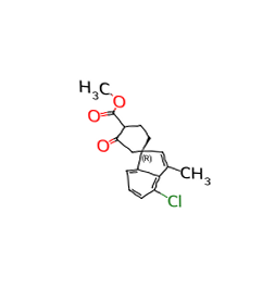 COC(=O)C1CC[C@]2(C=C(C)c3c(Cl)cccc32)CC1=O